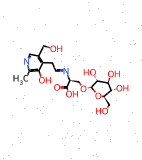 Cc1ncc(CO)c(CC=N[C@@H](CO[C@H]2O[C@H](CO)[C@@H](O)[C@H](O)[C@H]2O)C(=O)O)c1O